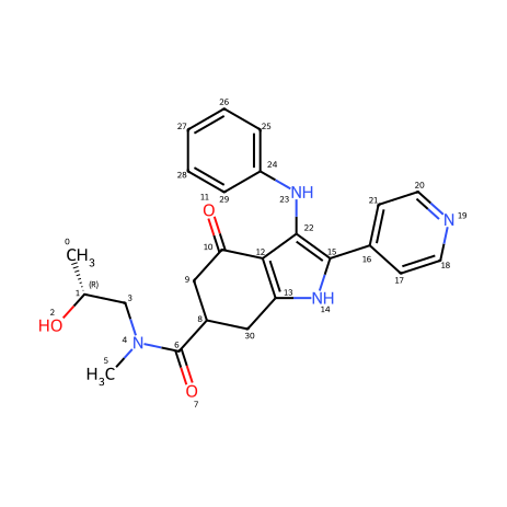 C[C@@H](O)CN(C)C(=O)C1CC(=O)c2c([nH]c(-c3ccncc3)c2Nc2ccccc2)C1